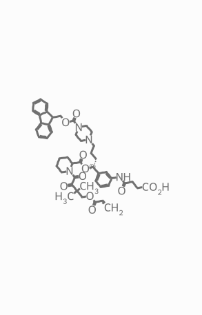 C=CC(=O)OCC(C)(C)C(=O)C(=O)N1CCCCC1C(=O)O[C@H](CCCN1CCN(C(=O)OCC2c3ccccc3-c3ccccc32)CC1)c1cccc(NC(=O)CCC(=O)O)c1